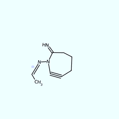 C/C=N\N1C#CCCCC1=N